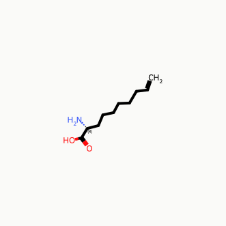 C=CCCCCCC[C@@H](N)C(=O)O